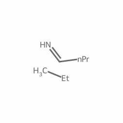 CCC.CCCC=N